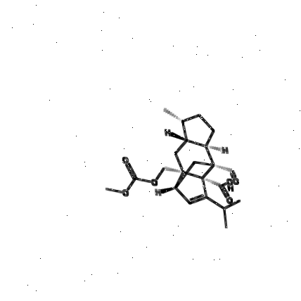 COC(=O)OC[C@@]12C[C@@H]3[C@H](C)CC[C@H]3[C@]3(C=O)C[C@@H]1C=C(C(C)C)[C@@]23C(=O)O